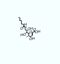 CCCCCCC(=O)NCC(O)C(O)C1OC(C(=O)O)=C[C@@H](O)[C@H]1C